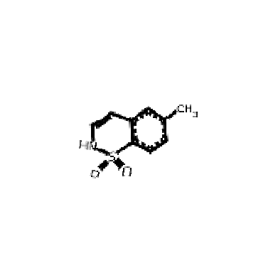 Cc1ccc2c(c1)C=CNS2(=O)=O